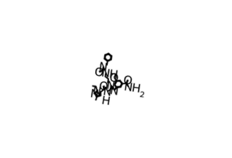 CCn1nc(C)cc1C(=O)Nc1nc2cc(C(N)=O)cc(OC)c2n1CCCNC(=O)N(C)Cc1ccccc1